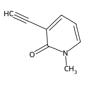 C#Cc1cccn(C)c1=O